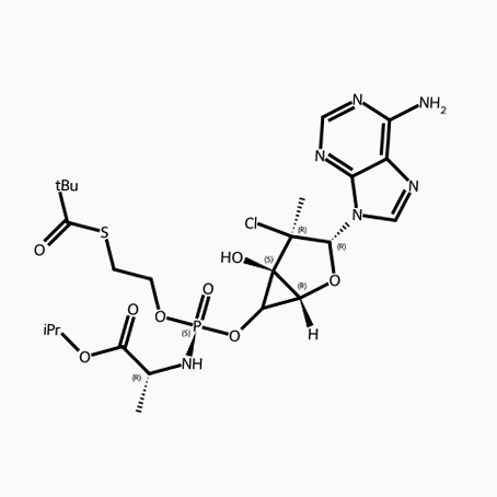 CC(C)OC(=O)[C@@H](C)N[P@](=O)(OCCSC(=O)C(C)(C)C)OC1[C@H]2O[C@@H](n3cnc4c(N)ncnc43)[C@](C)(Cl)[C@@]12O